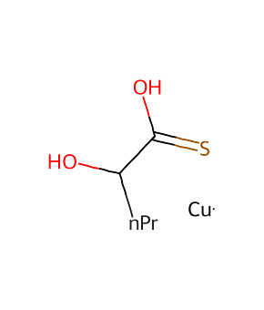 CCCC(O)C(O)=S.[Cu]